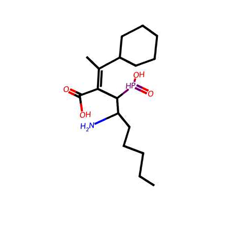 CCCCCC(N)C(/C(C(=O)O)=C(/C)C1CCCCC1)[PH](=O)O